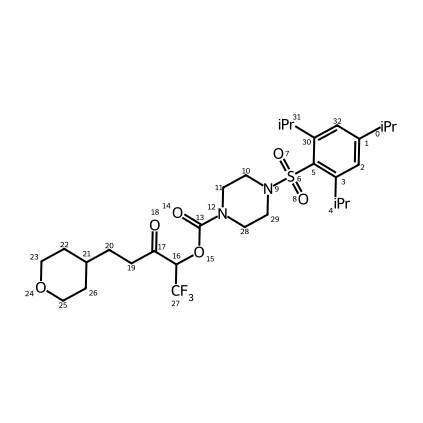 CC(C)c1cc(C(C)C)c(S(=O)(=O)N2CCN(C(=O)OC(C(=O)CCC3CCOCC3)C(F)(F)F)CC2)c(C(C)C)c1